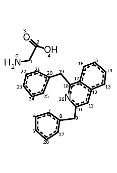 NCC(=O)O.c1ccc(Cc2cc3ccccc3c(Cc3ccccc3)n2)cc1